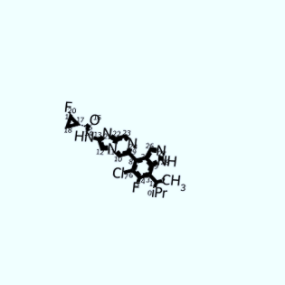 CC(C)C(C)c1c(F)c(Cl)c(-c2cn3cc(NC(=O)[C@@H]4C[C@@H]4F)nc3cn2)c2cn[nH]c12